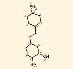 CCC1CCC(CCC2CCC(P)CC2)CC1O